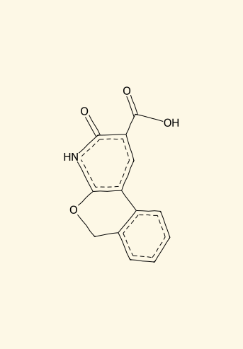 O=C(O)c1cc2c([nH]c1=O)OCc1ccccc1-2